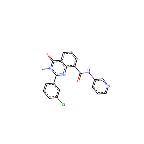 Cn1c(-c2cccc(Cl)c2)nc2c(C(=O)Nc3cccnc3)cccc2c1=O